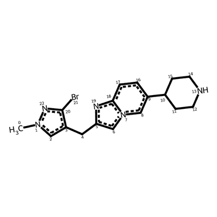 Cn1cc(Cc2cn3cc(C4CCNCC4)ccc3n2)c(Br)n1